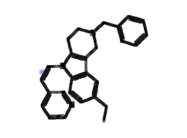 CCc1ccc2c(c1)c1c(n2/C=C\c2cccnc2)CCN(Cc2ccccc2)C1